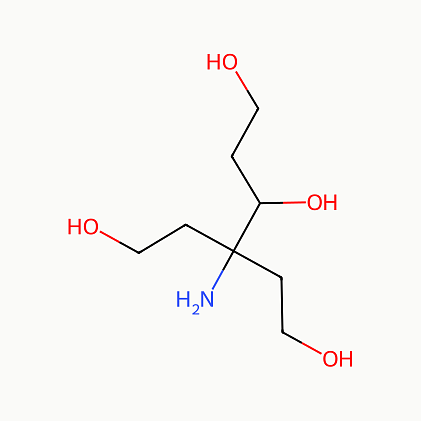 NC(CCO)(CCO)C(O)CCO